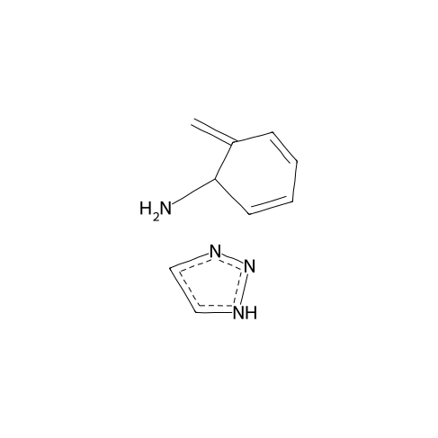 C=C1C=CC=CC1N.c1c[nH]nn1